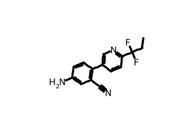 CCC(F)(F)c1ccc(-c2ccc(N)cc2C#N)cn1